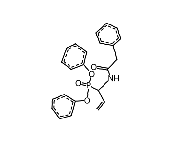 C=CC(NC(=O)Cc1ccccc1)P(=O)(Oc1ccccc1)Oc1ccccc1